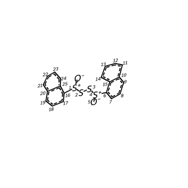 [O-][S+](SS[S+]([O-])c1cccc2ccccc12)c1cccc2ccccc12